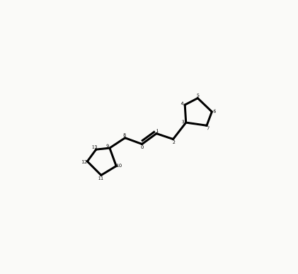 C(=CCC1CCCC1)CC1CCCC1